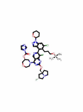 CC(C)(C)[Si](C)(C)OCCCc1c(Cl)cc2c(cnn2C2CCCCO2)c1-c1ncc2c(N3CCOC[C@@H](OC(=O)n4ccnc4)C3)nc(OC[C@@]34CCCN3C[C@H](F)C4)nc2c1F